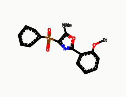 CCOc1ccccc1-c1nc(S(=O)(=O)c2ccccc2)c(NC)o1